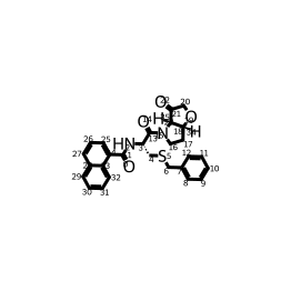 O=C(N[C@@H](CSCc1ccccc1)C(=O)N1CC[C@H]2OCC(=O)[C@H]21)c1cccc2ccccc12